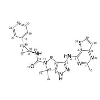 Cc1nc(Nc2n[nH]c3c2CN(C(=O)N[C@H]2C[C@@H]2c2ccccc2)C3(C)C)c2sccc2n1